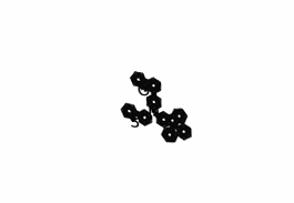 c1ccc(C2(c3ccccc3)c3ccccc3-c3cc(N(c4ccc(-c5cccc6c5oc5ccccc56)cc4)c4ccc5sc6ccccc6c5c4)ccc32)cc1